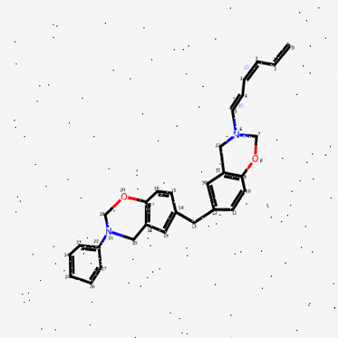 C=C/C=C\C=C\N1COc2ccc(Cc3ccc4c(c3)CN(c3ccccc3)CO4)cc2C1